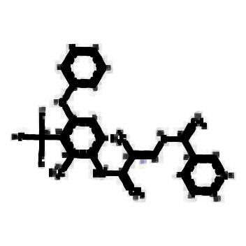 C=C(Nc1ccc(Oc2ccccc2)c(C(F)(F)F)c1C)/C(C)=C/SC(=C)c1ccnnc1